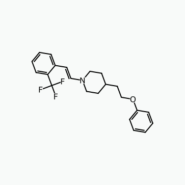 FC(F)(F)c1ccccc1C=CN1CCC(CCOc2ccccc2)CC1